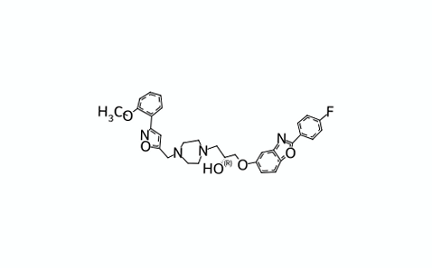 COc1ccccc1-c1cc(CN2CCN(C[C@@H](O)COc3ccc4oc(-c5ccc(F)cc5)nc4c3)CC2)on1